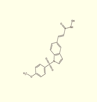 COc1ccc(S(=O)(=O)n2ccc3cc(C=CC(=O)NO)ccc32)cc1